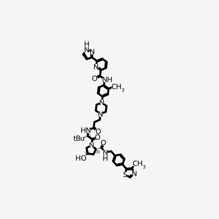 Cc1cc(N2CCN(CCC(=O)N[C@H](C(=O)N3C[C@H](O)C[C@H]3C(=O)NCc3ccc(-c4scnc4C)cc3)C(C)(C)C)CC2)ccc1NC(=O)c1cccc(-c2cc[nH]n2)n1